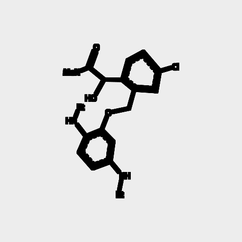 CCNc1ccc(NCC)c(OCc2cc(Cl)ccc2C(O)C(=O)NC)c1